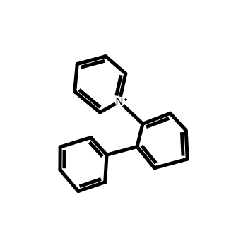 c1ccc(-c2ccccc2-[n+]2ccccc2)cc1